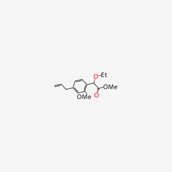 C=CCc1ccc(C(OCC)C(=O)OC)c(OC)c1